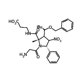 CC[C@H](C)C(OCc1ccccc1)C1C([N+](=O)[O-])[C@H](c2ccccc2)N(C(=O)CN)[C@]1(C)C(=O)NCCC(=O)O